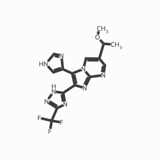 COC(C)c1cnc2nc(-c3nc(C(F)(F)F)n[nH]3)c(-c3c[nH]cn3)n2c1